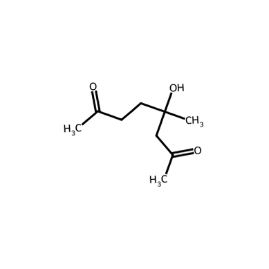 CC(=O)CCC(C)(O)CC(C)=O